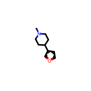 CN1CCC(c2ccoc2)CC1